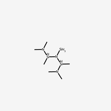 CN(C)[SiH](C)N([SiH3])[SiH](C)N(C)C